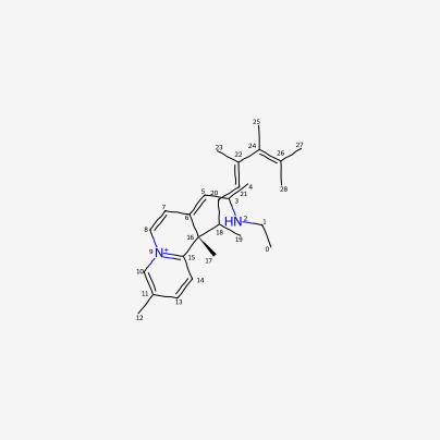 CCNC(C)/C=C1/C=C[n+]2cc(C)ccc2[C@@]1(C)C(C)C/C=C(\C)C(C)=C(C)C